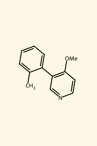 COc1ccncc1-c1ccccc1C